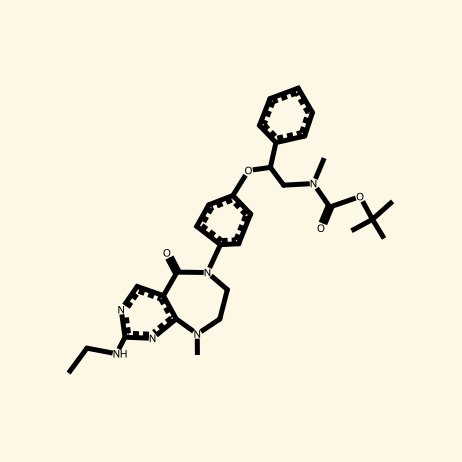 CCNc1ncc2c(n1)N(C)CCN(c1ccc(OC(CN(C)C(=O)OC(C)(C)C)c3ccccc3)cc1)C2=O